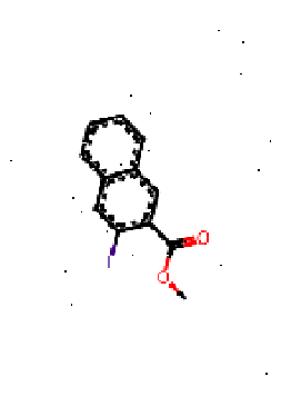 COC(=O)c1cc2ccccc2cc1I